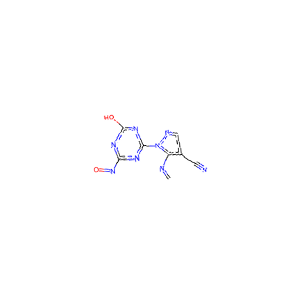 C=Nc1c(C#N)cnn1-c1nc(O)nc(N=O)n1